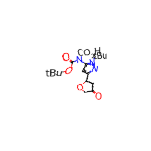 CC(C)(C)OC(=O)N(C(=O)O)c1cc(C2CC(=O)CO2)nn1C(C)(C)C